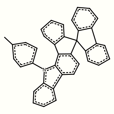 Cc1ccc(-n2c3ccccc3c3ccc4c(c32)-c2ccccc2C42c3ccccc3-c3ccccc32)cc1